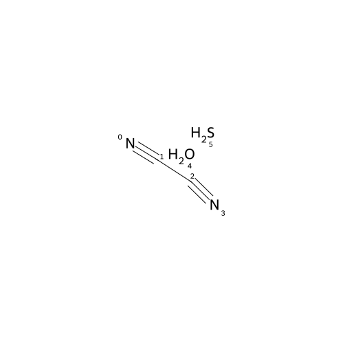 N#CC#N.O.S